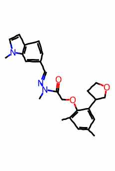 Cc1cc(C)c(OCC(=O)N(C)N=Cc2ccc3ccn(C)c3c2)c(C2CCOC2)c1